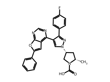 C[C@H]1C[C@@H](n2cc(-c3ncnc4oc(-c5ccccc5)cc34)c(-c3ccc(F)cc3)n2)CN1C(=O)O